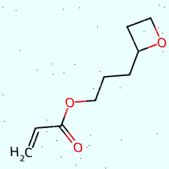 C=CC(=O)OCCCC1CCO1